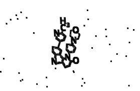 Cc1ccc(-c2ccc3ncc4ccc(=O)n(-c5ccc(N6CCOCC6)cc5)c4c3c2)cn1